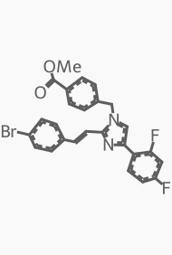 COC(=O)c1ccc(Cn2cc(-c3ccc(F)cc3F)nc2/C=C/c2ccc(Br)cc2)cc1